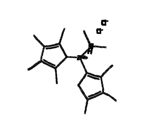 CC1=C(C)C(C)=[C]([Zr+2]([CH]2C(C)=C(C)C(C)=C2C)[SiH](C)C)C1.[Cl-].[Cl-]